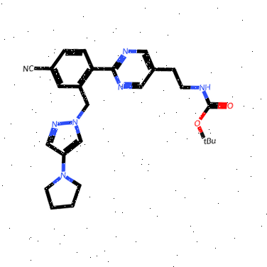 CC(C)(C)OC(=O)NCCc1cnc(-c2ccc(C#N)cc2Cn2cc(N3CCCC3)cn2)nc1